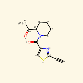 C#Cc1nc(C(=O)N2CCCCC2C(=O)OC)cs1